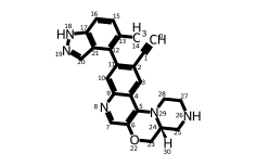 C#Cc1cc2c3c(cnc2cc1-c1c(C)ccc2[nH]ncc12)OC[C@H]1CNCCN31